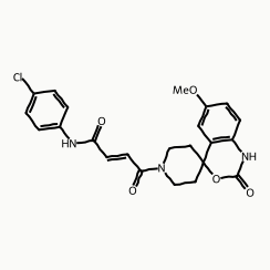 COc1ccc2c(c1)C1(CCN(C(=O)C=CC(=O)Nc3ccc(Cl)cc3)CC1)OC(=O)N2